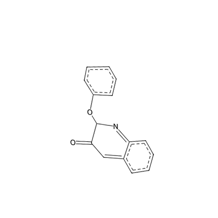 O=C1C=c2ccccc2=NC1Oc1ccccc1